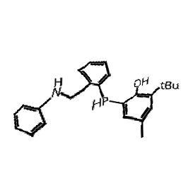 Cc1cc(Pc2ccccc2CNc2ccccc2)c(O)c(C(C)(C)C)c1